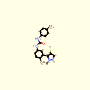 COc1ccc(NC(=O)Nc2ccc(C(F)(F)F)cc2)cc1-c1c(F)cnn1C